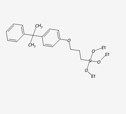 CCO[Si](CCCOc1ccc(C(C)(C)c2ccccc2)cc1)(OCC)OCC